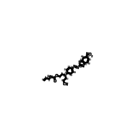 C=CCNC(=O)OCCN(CCC#N)c1ccc(N=Nc2nc3ccc([N+](=O)[O-])cc3s2)cc1